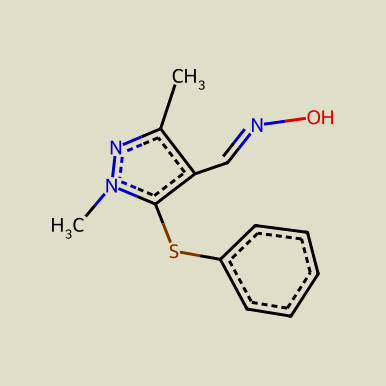 Cc1nn(C)c(Sc2ccccc2)c1C=NO